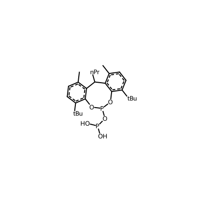 CCCC1c2c(C)ccc(C(C)(C)C)c2OP(OP(O)O)Oc2c(C(C)(C)C)ccc(C)c21